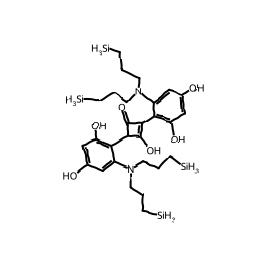 O=C1C(c2c(O)cc(O)cc2N(CCC[SiH3])CCC[SiH3])=C(O)C1c1c(O)cc(O)cc1N(CCC[SiH3])CCC[SiH3]